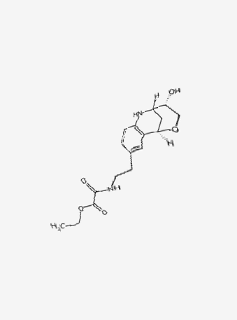 CCOC(=O)C(=O)NCCc1ccc2c(c1)[C@H]1C[C@H](N2)[C@H](O)CO1